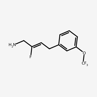 NCC(F)=CCc1cccc(OC(F)(F)F)c1